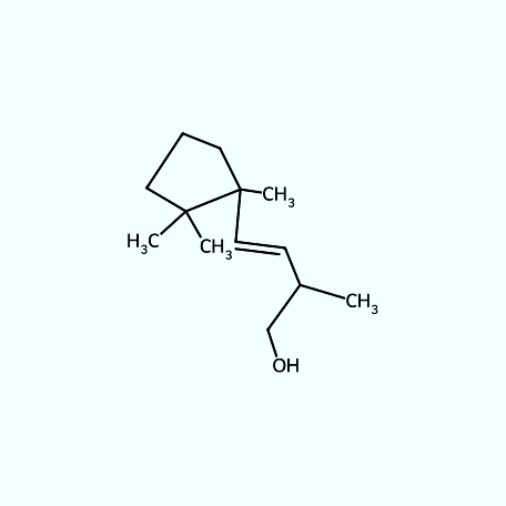 CC(C=CC1(C)CCCC1(C)C)CO